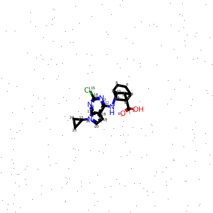 O=C(O)C1C2CCC(CC2)C1Nc1nc(Cl)nc2c1ccn2C1CC1